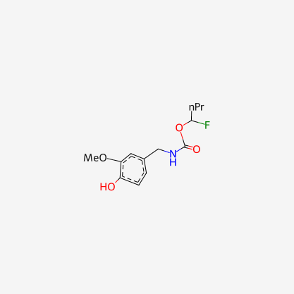 CCCC(F)OC(=O)NCc1ccc(O)c(OC)c1